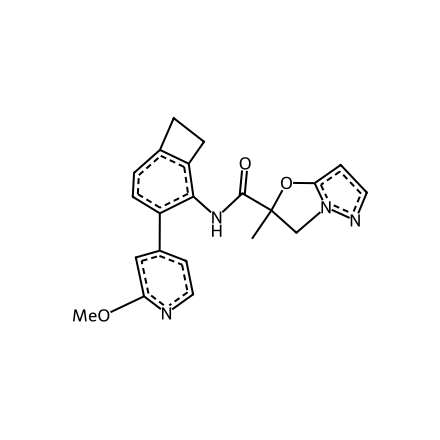 COc1cc(-c2ccc3c(c2NC(=O)C2(C)Cn4nccc4O2)CC3)ccn1